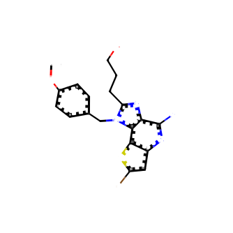 COc1ccc(Cn2c(CCCO)nc3c(N)nc4cc(Br)sc4c32)cc1